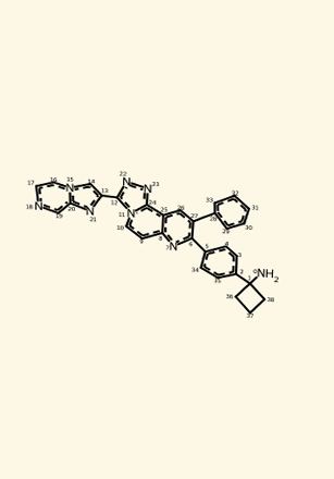 NC1(c2ccc(-c3nc4ccn5c(-c6cn7ccncc7n6)nnc5c4cc3-c3ccccc3)cc2)CCC1